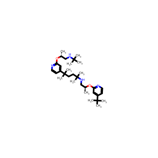 C[C@H](CNC(C)(C)C)Oc1cc(C(C)(C)CCC(C)(C)NC[C@H](C)Oc2cc(C(C)(C)C)ccn2)ccn1